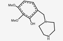 COc1ccc(CN2CCNCC2)c(O)c1OC